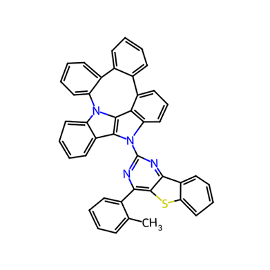 Cc1ccccc1-c1nc(-n2c3cccc4c5ccccc5c5ccccc5n5c6ccccc6c2c5c43)nc2c1sc1ccccc12